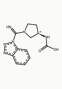 N=C(N1CC[C@@H](NC(=O)O)C1)n1nnc2ccccc21